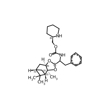 CC1(C)[C@@H]2C[C@H]3OB(C(Cc4ccccc4)NC(=O)OC[C@H]4CCCCN4)O[C@@]3(C)[C@H]1C2